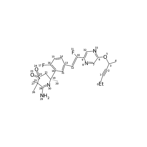 CCC#CC(C)Oc1cnc(/C(F)=C/c2ccc(F)c([C@]3(C)CS(=O)(=O)C(C)(C)C(N)=N3)c2)cn1